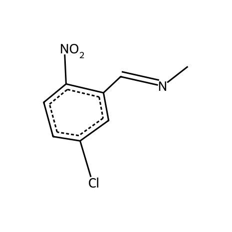 CN=Cc1cc(Cl)ccc1[N+](=O)[O-]